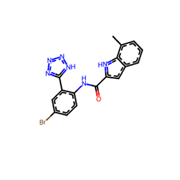 Cc1cccc2cc(C(=O)Nc3ccc(Br)cc3-c3nnn[nH]3)[nH]c12